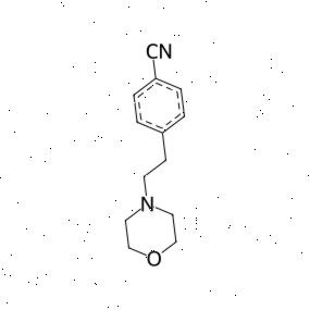 N#Cc1ccc(CCN2CCOCC2)cc1